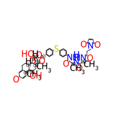 C[C@H](NC(=O)CCN1C(=O)C=CC1=O)C(=O)N[C@@H](C)C(=O)Nc1ccc(Sc2ccc([C@H]3O[C@@H]4CC5[C@@H]6CCC7=CC(=O)C=C[C@]7(C)C6[C@@H](O)C[C@]5(C)[C@]4(C(=O)CO)O3)cc2)cc1